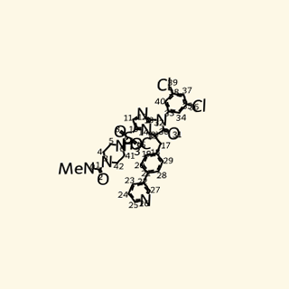 CNC(=O)N1CCN(S(=O)(=O)c2cnc3n2[C@](C)(Cc2ccc(-c4cccnc4)cc2)C(=O)N3c2cc(Cl)cc(Cl)c2)CC1